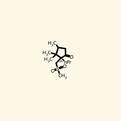 CCC[C@]1(CS(C)(=O)=O)C(=O)CC(C)C1(C)C